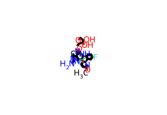 COc1cccc(-c2cc(F)ccc2[C@@H]2N/C(=N\OCC3OCC(O)C3O)c3c(C)nc(N)nc3C2(F)F)n1